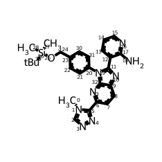 Cn1cnnc1-c1ccc2nc(-c3cccnc3N)n(-c3ccc(CO[Si](C)(C)C(C)(C)C)cc3)c2n1